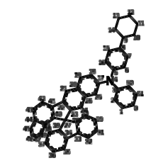 c1ccc(N(c2ccc(C3CCCCC3)cc2)c2ccc3cc4c(cc3c2)C2(c3ccccc3-c3ccccc32)c2c-4ccc3ccccc23)cc1